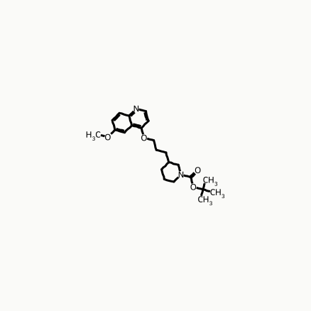 COc1ccc2nccc(OCCCC3CCCN(C(=O)OC(C)(C)C)C3)c2c1